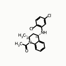 CC(=O)N1c2ccccc2[C@@H](Nc2cc(Cl)ccc2Cl)C[C@H]1C